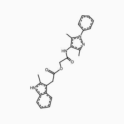 Cc1nn(-c2ccccc2)c(C)c1NC(=O)COC(=O)Cc1c(C)[nH]c2ccccc12